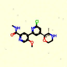 CNC(=O)c1cc(-c2cc([C@@H]3OCCN[C@H]3C)cc(Cl)n2)c(OC)cn1